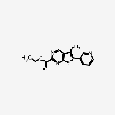 CCOC(=O)c1ncc2c(C)c(-c3cccnc3)sc2n1